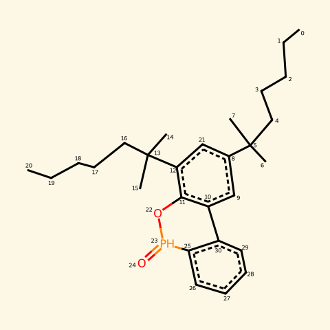 CCCCCC(C)(C)c1cc2c(c(C(C)(C)CCCCC)c1)O[PH](=O)c1ccccc1-2